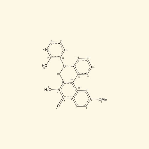 COc1ccc2c(=O)n(C)c(COc3cccnc3O)c(-c3ccccc3)c2c1